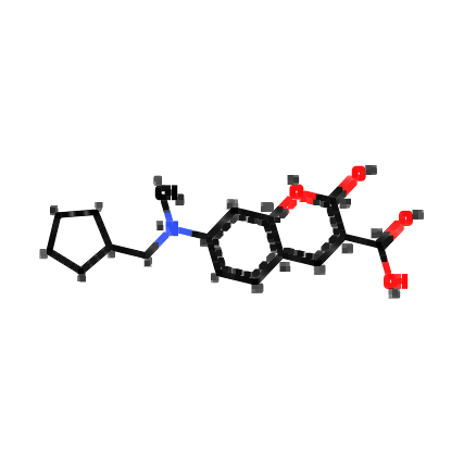 CN(CC1CCCC1)c1ccc2cc(C(=O)O)c(=O)oc2c1